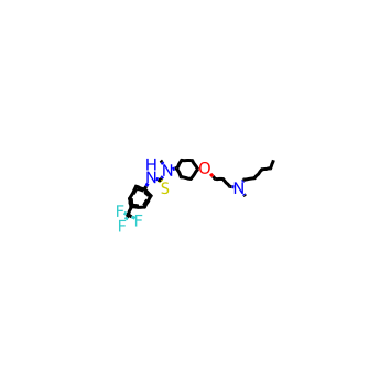 CCCCCN(C)CCCOC1CCC(N(C)C(=S)Nc2ccc(C(F)(F)F)cc2)CC1